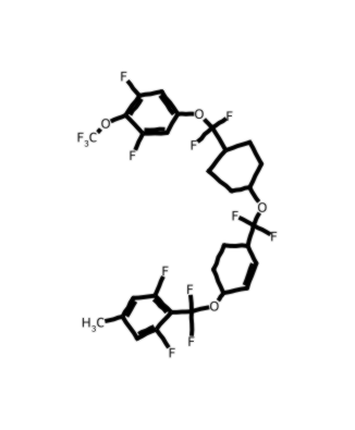 Cc1cc(F)c(C(F)(F)OC2C=CC(C(F)(F)OC3CCC(C(F)(F)Oc4cc(F)c(OC(F)(F)F)c(F)c4)CC3)CC2)c(F)c1